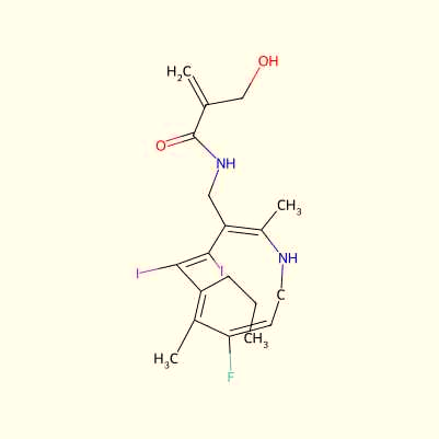 C=C(CO)C(=O)NCC1=C(/C)NC\C=C(F)/C(C)=C(CCC)/C(I)=C/1I